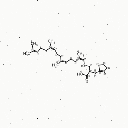 CC(C)=CCCC(C)=CCCC(C)=CCCC(C)=CSCC(NC1=NCCC1)C(=O)O